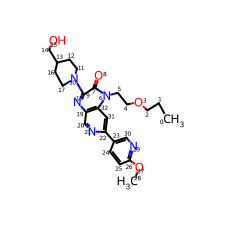 CCCOCCn1c(=O)c(N2CCC(CO)CC2)nc2cnc(-c3ccc(OC)nc3)cc21